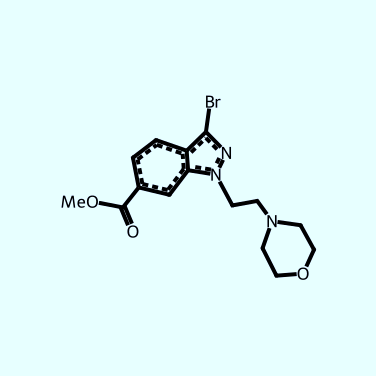 COC(=O)c1ccc2c(Br)nn(CCN3CCOCC3)c2c1